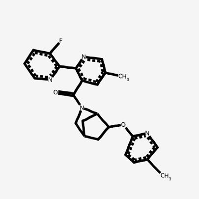 Cc1ccc(OC2CC3CC2N(C(=O)c2cc(C)cnc2-c2ncccc2F)C3)nc1